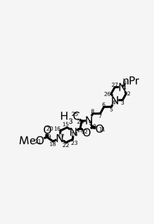 CCCN1CCN(CCCCN2C(=O)OC(N3CCN(CC(=O)OC)CC3)C2C)CC1